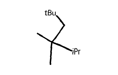 [CH2]C(C)(C)CC(C)(C)C(C)C